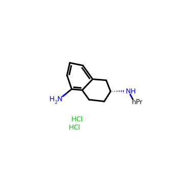 CCCN[C@@H]1CCc2c(N)cccc2C1.Cl.Cl